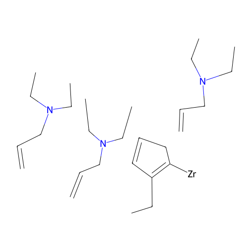 C=CCN(CC)CC.C=CCN(CC)CC.C=CCN(CC)CC.CCC1=[C]([Zr])CC=C1